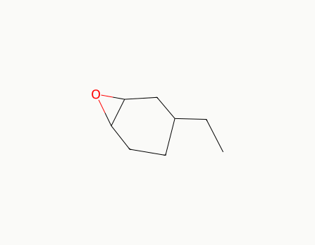 CCC1CCC2OC2C1